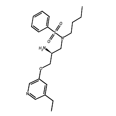 CCCCN(C[C@H](N)COc1cncc(CC)c1)S(=O)(=O)c1ccccc1